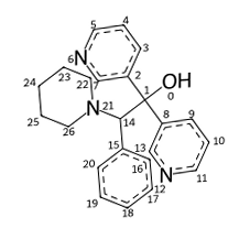 OC(c1cccnc1)(c1cccnc1)C(c1ccccc1)N1CCCCC1